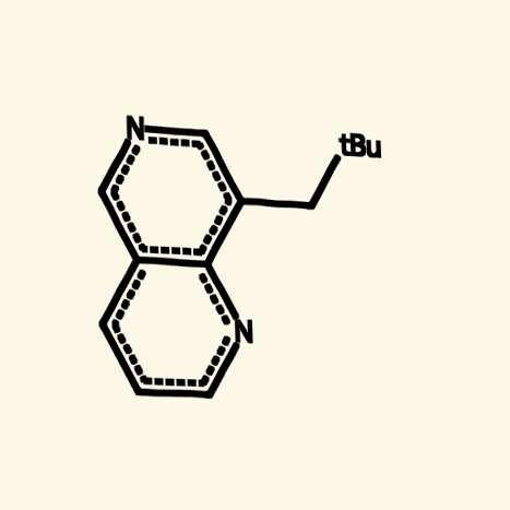 CC(C)(C)Cc1cncc2cccnc12